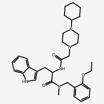 CCOc1ccccc1CN(C)C(=O)C(Cc1c[nH]c2ccccc12)NC(=O)CN1CCN(C2CCCCC2)CC1